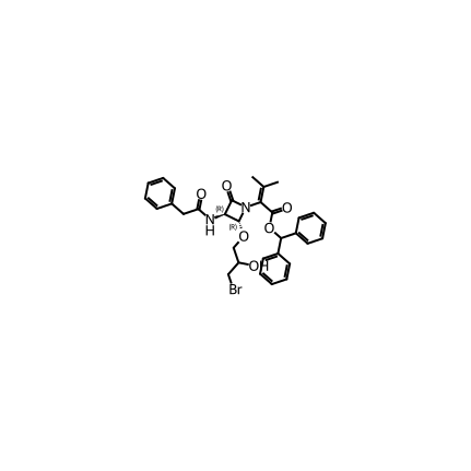 CC(C)=C(C(=O)OC(c1ccccc1)c1ccccc1)N1C(=O)[C@H](NC(=O)Cc2ccccc2)[C@H]1OCC(O)CBr